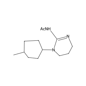 CC(=O)NC1=NCCCN1C1CCC(C)CC1